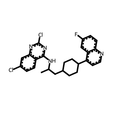 CC(CC1CCC(c2ccnc3ccc(F)cc23)CC1)Nc1nc(Cl)nc2cc(Cl)ccc12